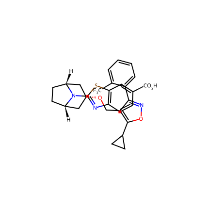 O=C(O)c1ccc2nc(N3[C@@H]4CC[C@H]3C[C@@H](OCc3c(-c5ccccc5C(F)(F)F)noc3C3CC3)C4)sc2c1